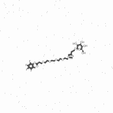 O=C(CCOCCOCCOCCOCCn1cc(CCO[C@H]2O[C@H](CO)[C@@H](O)[C@H](O)[C@@H]2O)nn1)Oc1c(F)c(F)c(F)c(F)c1F